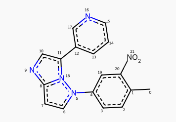 Cc1ccc(-n2ccc3ncc(-c4cccnc4)n32)cc1[N+](=O)[O-]